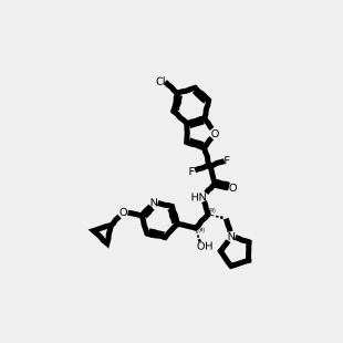 O=C(N[C@H](CN1CCCC1)[C@H](O)c1ccc(OC2CC2)nc1)C(F)(F)c1cc2cc(Cl)ccc2o1